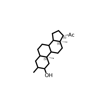 CC(=O)[C@H]1CCC2C3CCC4CC(C)C(O)C[C@]4(C)C3CC[C@@]21C